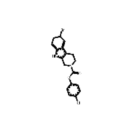 O=C(Oc1ccc(Cl)cc1)N1CCc2c([nH]c3c2=CC(Br)CC=3)C1